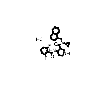 Cl.O=C(NC1CCNCC1C(=O)N(Cc1cccc2ccccc12)C1CC1)c1c(F)cccc1F